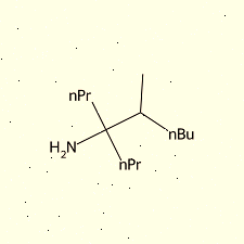 CCCCC(C)C(N)(CCC)CCC